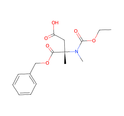 CCOC(=O)N(C)[C@@](C)(CC(=O)O)C(=O)OCc1ccccc1